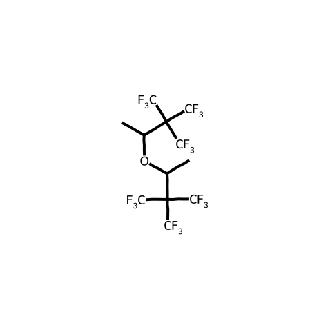 CC(OC(C)C(C(F)(F)F)(C(F)(F)F)C(F)(F)F)C(C(F)(F)F)(C(F)(F)F)C(F)(F)F